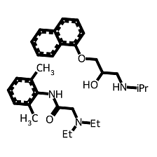 CC(C)NCC(O)COc1cccc2ccccc12.CCN(CC)CC(=O)Nc1c(C)cccc1C